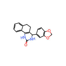 O=C1NC2=C(CCc3ccccc32)C(c2ccc3c(c2)OCO3)N1